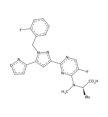 CCC(C)[C@H](C(=O)O)N(C)c1nc(-c2cc(-c3ccon3)n(Cc3ccccc3F)n2)ncc1F